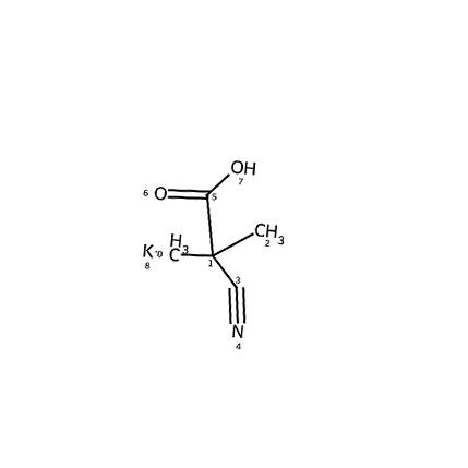 CC(C)(C#N)C(=O)O.[K]